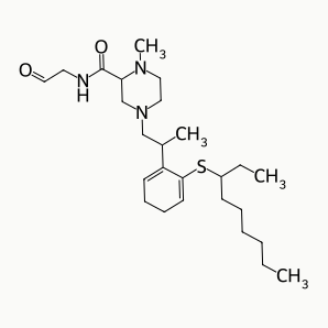 CCCCCCC(CC)SC1=CCCC=C1C(C)CN1CCN(C)C(C(=O)NCC=O)C1